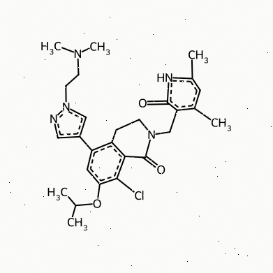 Cc1cc(C)c(CN2CCc3c(-c4cnn(CCN(C)C)c4)cc(OC(C)C)c(Cl)c3C2=O)c(=O)[nH]1